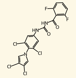 O=C(NC(=O)c1c(F)cccc1F)Nc1cc(Cl)c(-n2cc(Cl)c(Cl)c2)c(Cl)c1